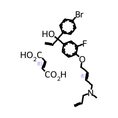 C=CCN(C)C/C=C/COc1ccc(C(O)(C=C)c2ccc(Br)cc2)cc1F.O=C(O)/C=C/C(=O)O